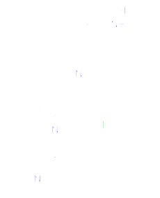 Cl.N#CC1(c2ccccc2)CCN(C(=O)/C=C/c2cccc(/C=C/C(=O)NO)n2)CC1